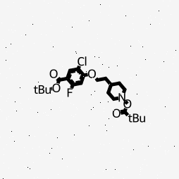 CC(C)(C)OC(=O)c1cc(Cl)c(OCCC2CCN(OC(=O)C(C)(C)C)CC2)cc1F